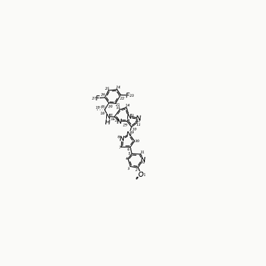 COc1ccc(-c2cnn(-c3cnn4ccc(N[C@H](C)c5cc(F)ccc5F)nc34)c2)cn1